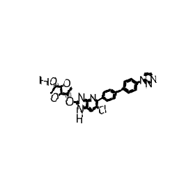 O[C@@H]1COC2C1OC[C@H]2Oc1nc2nc(-c3ccc(-c4ccc(-n5ccnn5)cc4)cc3)c(Cl)cc2[nH]1